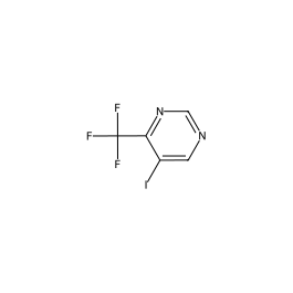 FC(F)(F)c1ncncc1I